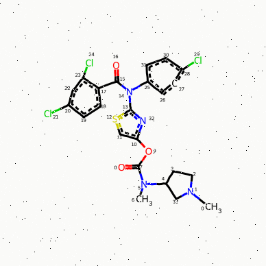 CN1CCC(N(C)C(=O)Oc2csc(N(C(=O)c3ccc(Cl)cc3Cl)c3ccc(Cl)cc3)n2)C1